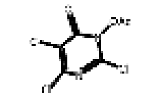 CC(=O)On1c(Cl)nc(Cl)c(Cl)c1=O